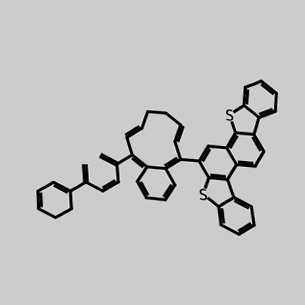 C=C(/C=C\C(=C)C1=c2\cccc\c2=C(c2cc3c(ccc4c5ccccc5sc43)c3c2sc2ccccc23)\C=C\CC\C=C\1)C1=CC=CCC1